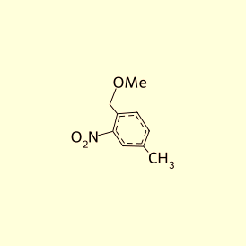 COCc1ccc(C)cc1[N+](=O)[O-]